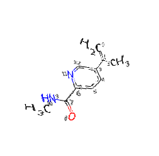 C=C(C)c1ccc(C(=O)NC)nc1